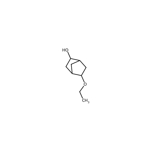 CCOC1CC2CC1CC2O